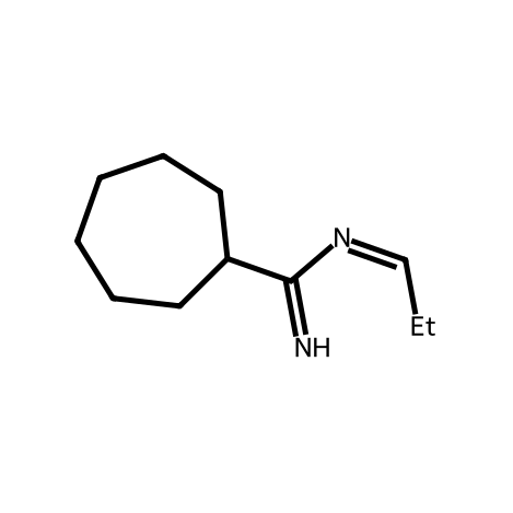 CC/C=N\C(=N)C1CCCCCC1